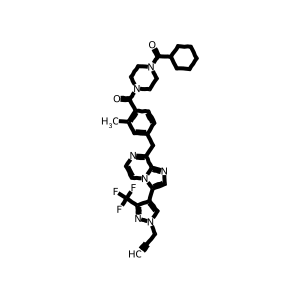 C#CCn1cc(-c2cnc3c(Cc4ccc(C(=O)N5CCN(C(=O)C6CCCCC6)CC5)c(C)c4)nccn23)c(C(F)(F)F)n1